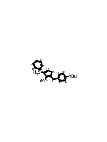 CCCCc1ccc(CC2=C(CCC)C([SiH2]c3ccccc3)=CC2)cc1